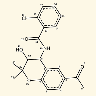 CC(=O)c1ccc2c(c1)C(NC(=O)c1ccccc1Cl)C(O)C(C)(C)O2